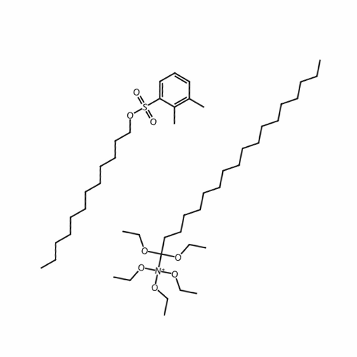 CCCCCCCCCCCCCCCCCC(OCC)(OCC)[N+](OCC)(OCC)OCC.CCCCCCCCCCCCOS(=O)(=O)c1cccc(C)c1C